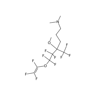 COC(CCCN(C)C)(C(F)(F)F)C(F)(F)C(F)(F)OC(F)=C(F)F